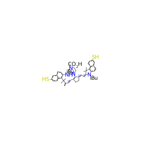 C=C(/C=C/C1=C(N2CCN(C(=O)O)CC2)C(=C/C=C2/N(C(C)CC)c3ccc4cc(S)ccc4c3C2(C)C)/CC1)C(C)(C)c1c(NC(C)CC)ccc2cc(S)ccc12